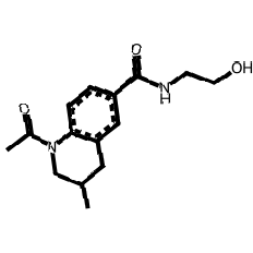 CC(=O)N1CC(C)Cc2cc(C(=O)NCCO)ccc21